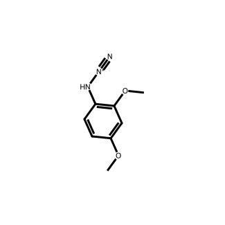 COc1ccc(N[N+]#N)c(OC)c1